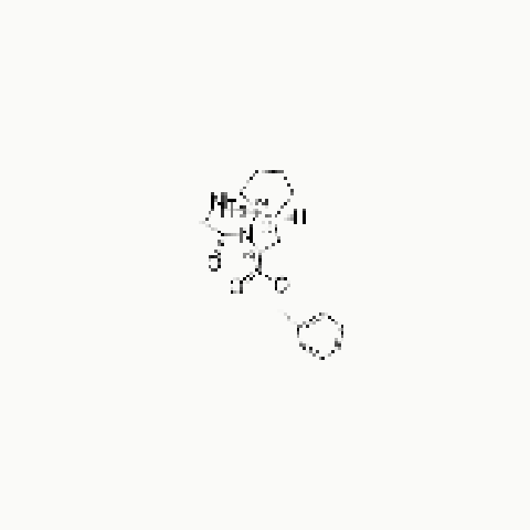 CC(N)C(=O)N1[C@H](C(=O)OCc2ccccc2)C[C@@H]2CCCC[C@@H]21